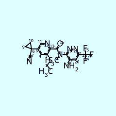 CCSc1cc(C2(C#N)CC2)cnc1C(=O)N(C)c1nnc(C(F)(F)F)cc1N